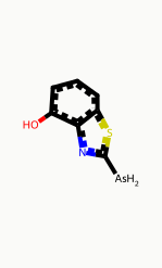 Oc1cccc2sc([AsH2])nc12